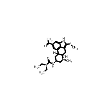 CCN(CC)C(=O)N[C@H]1C[C@@H]2c3cc(C(C)=O)cc4[nH]c(SC)c(c34)C[C@H]2N(C)C1